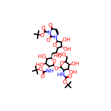 CC(C)(C)OC(=O)NC1C(O)[C@H](O)C(CO)O[C@@H]1O[C@@H]1O[C@H](C[C@@H](O)[C@H]2O[C@@H](n3ccc(=O)n(C(=O)OC(C)(C)C)c3=O)[C@H](O)[C@@H]2O)C(O)C(O)[C@H]1NC(=O)OC(C)(C)C